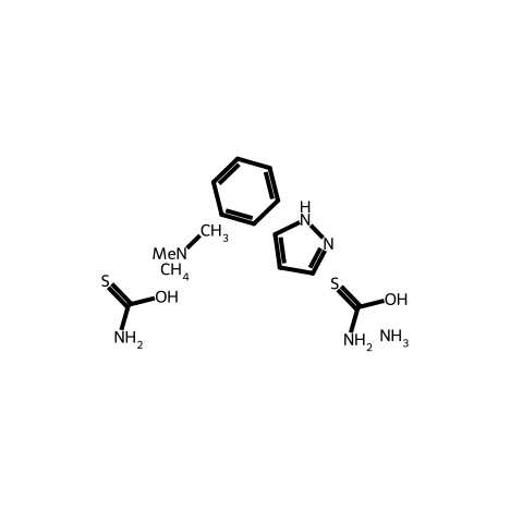 C.CNC.N.NC(O)=S.NC(O)=S.c1ccccc1.c1cn[nH]c1